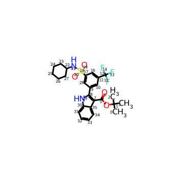 CC(C)(C)OC(=O)c1c(-c2cc(C(F)(F)F)cc(S(=O)(=O)NC3CCCCC3)c2)[nH]c2ccccc12